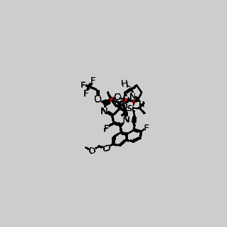 COCOc1cc(-c2ncc3c(N4C[C@H]5CC[C@@H](C4)N5C(=O)OC(C)(C)C)nc(OCC(F)(F)F)nc3c2F)c2c(C#C[Si](C(C)C)(C(C)C)C(C)C)c(F)ccc2c1